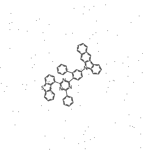 c1ccc(-c2nc(-c3ccc(-n4c5ccccc5c5cc6ccccc6cc54)cc3-c3ccccc3)nc(-c3cccc4sc5ccccc5c34)n2)cc1